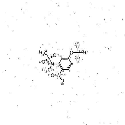 [2H]C([2H])([2H])Oc1ccc([N+](=O)[O-])c(N(C)S(C)(=O)=O)c1